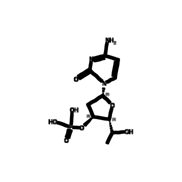 CC(O)[C@H]1O[C@@H](n2ccc(N)nc2=O)C[C@@H]1OP(=O)(O)O